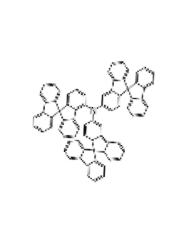 C1=CC2=C3C=C(N(c4ccc5c(c4)-c4ccccc4C54c5ccccc5-c5ccccc54)c4cccc5c4-c4ccccc4C54c5ccccc5-c5ccccc54)C=CC3C3(c4ccccc4-c4ccccc43)C2C=C1